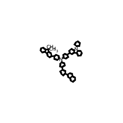 CC1(C)c2ccccc2-c2ccc(-c3ccc(N(c4ccc(-c5cccc(-c6ccc7ccccc7c6)c5)cc4)c4ccc(-c5ccc6c(c5)c5ccccc5n6-c5ccccc5)cc4)cc3)cc21